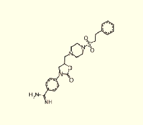 N=C(N)c1ccc(N2CC(CN3CCN(S(=O)(=O)CCc4ccccc4)CC3)OC2=O)cc1